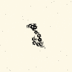 CN1CCN([C@@H]2CCCN(c3cnc(C(N)=O)c(Nc4ccc(C5CCN(C[C@H]6CCC(n7ccc8c9c(C%10CCC(=O)NC%10=O)noc9ccc87)C6)CC5)cc4)n3)C2)C1=O